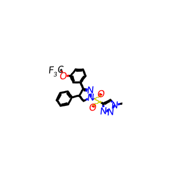 Cn1cc(S(=O)(=O)N2CC(c3ccccc3)C(c3cccc(OC(F)(F)F)c3)=N2)nn1